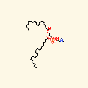 CC/C=C\C/C=C\C/C=C\C/C=C\C/C=C\CCCC(=O)OCC(COP(=O)(O)OCCN(C)C)OC(=O)CCCCC/C=C\C/C=C\C/C=C\C/C=C\CCCCC